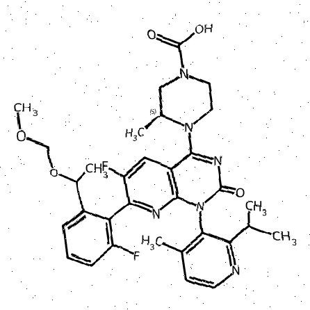 COCOC(C)c1cccc(F)c1-c1nc2c(cc1F)c(N1CCN(C(=O)O)C[C@@H]1C)nc(=O)n2-c1c(C)ccnc1C(C)C